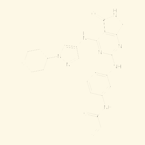 C=CC(=O)Nc1cccc(Nc2nc3c(c(Nc4cnn(C5CCOCC5)c4)n2)C(=O)NC3)c1